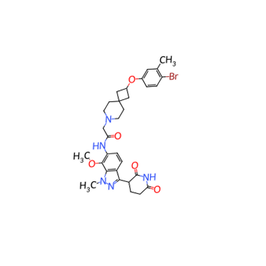 COc1c(NC(=O)CN2CCC3(CC2)CC(Oc2ccc(Br)c(C)c2)C3)ccc2c(C3CCC(=O)NC3=O)nn(C)c12